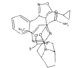 Cc1cc(C(N)=O)nc(N2C3CCC2CC(OCc2c(-c4ccccc4OC(F)F)noc2C2CC2)C3)n1